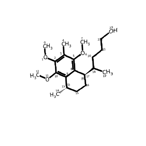 COc1c(C)c(OC)c2c(c1OC)[C@@H](C)CC[C@@H]2C(C)CCCO